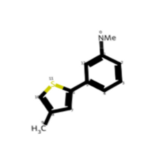 CNc1cccc(-c2cc(C)cs2)c1